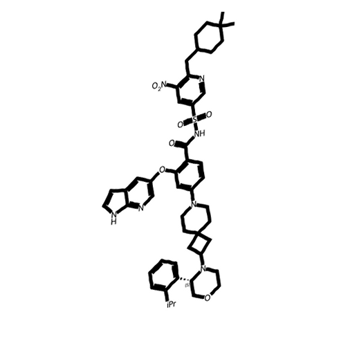 CC(C)c1ccccc1[C@H]1COCCN1C1CC2(CCN(c3ccc(C(=O)NS(=O)(=O)c4cnc(CC5CCC(C)(C)CC5)c([N+](=O)[O-])c4)c(Oc4cnc5[nH]ccc5c4)c3)CC2)C1